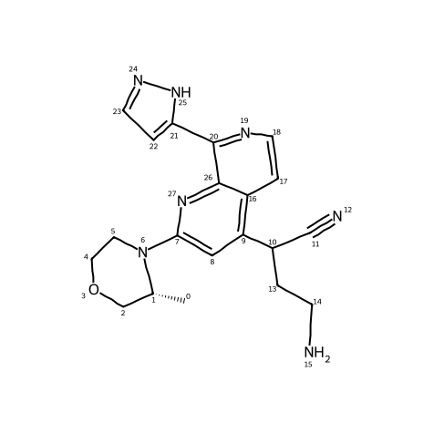 C[C@@H]1COCCN1c1cc(C(C#N)CCN)c2ccnc(-c3ccn[nH]3)c2n1